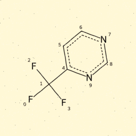 FC(F)(F)c1ccn[c]n1